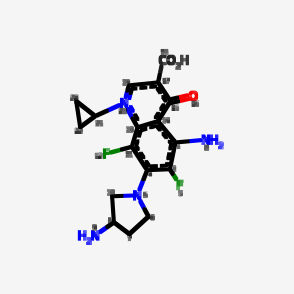 Nc1c(F)c(N2CCC(N)C2)c(F)c2c1c(=O)c(C(=O)O)cn2C1CC1